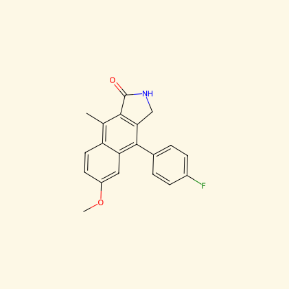 COc1ccc2c(C)c3c(c(-c4ccc(F)cc4)c2c1)CNC3=O